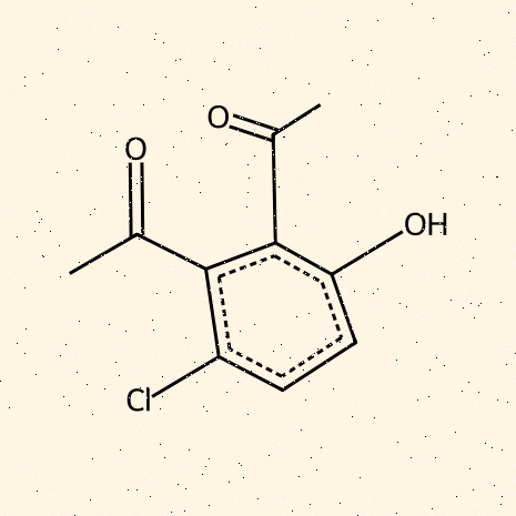 CC(=O)c1c(O)ccc(Cl)c1C(C)=O